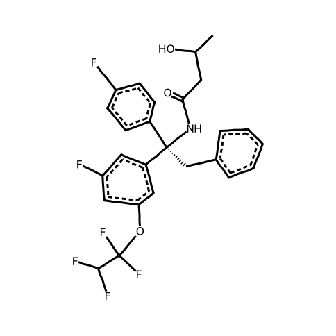 CC(O)CC(=O)N[C@](Cc1ccccc1)(c1ccc(F)cc1)c1cc(F)cc(OC(F)(F)C(F)F)c1